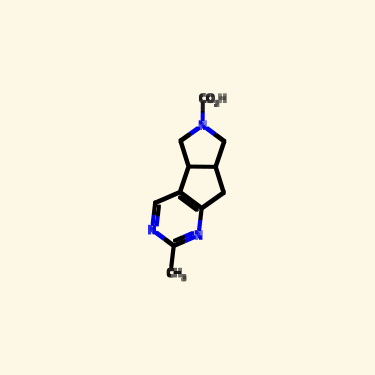 Cc1ncc2c(n1)CC1CN(C(=O)O)CC21